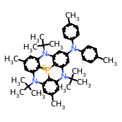 Cc1ccc(N(c2ccc(C)cc2)c2cc3c4c(c2)N(C(C)(C)C)c2cc(C)cc5c2P4(=S)c2c(cc(C)cc2N3C(C)(C)C)N5C(C)(C)C)cc1